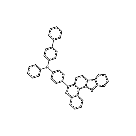 c1ccc(-c2ccc(N(c3ccccc3)c3ccc(-c4nc5ccccc5c5c4ccc4c6ccccc6sc45)cc3)cc2)cc1